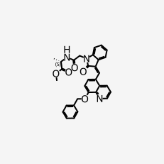 COC(=O)[C@H](C)NC(=O)CN1C(=O)C(=Cc2ccc(OCc3ccccc3)c3ncccc23)c2ccccc21